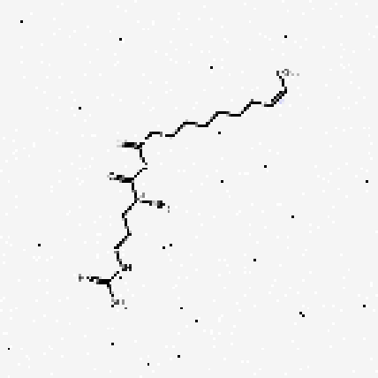 CCCCCCCC/C=C\CCCCCCCC(=O)OC(=O)[C@@H](N)CCCNC(=N)N